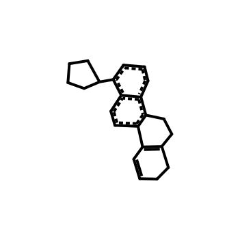 C1=CC2=C(CC1)CCc1c2ccc2c(C3CCCC3)cccc12